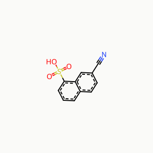 N#Cc1ccc2cccc(S(=O)(=O)O)c2c1